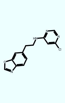 Clc1cc(NCCc2ccc3ncoc3c2)ncn1